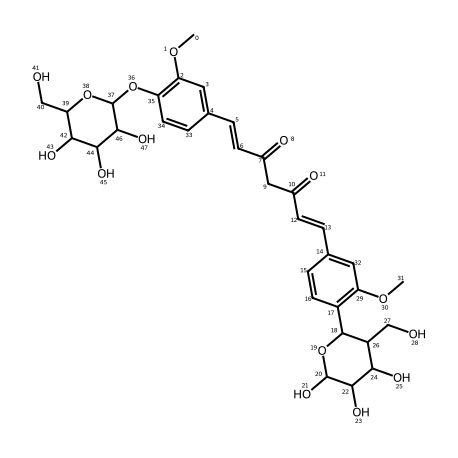 COc1cc(/C=C/C(=O)CC(=O)/C=C/c2ccc(C3OC(O)C(O)C(O)C3CO)c(OC)c2)ccc1OC1OC(CO)C(O)C(O)C1O